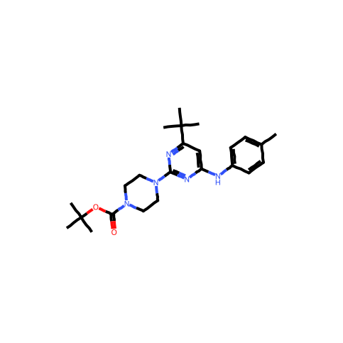 Cc1ccc(Nc2cc(C(C)(C)C)nc(N3CCN(C(=O)OC(C)(C)C)CC3)n2)cc1